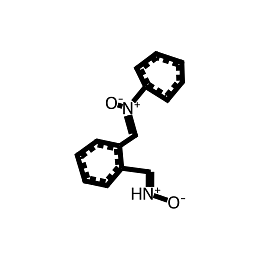 [O-][NH+]=Cc1ccccc1C=[N+]([O-])c1ccccc1